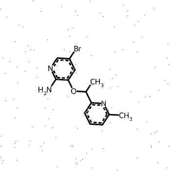 Cc1cccc(C(C)Oc2cc(Br)cnc2N)n1